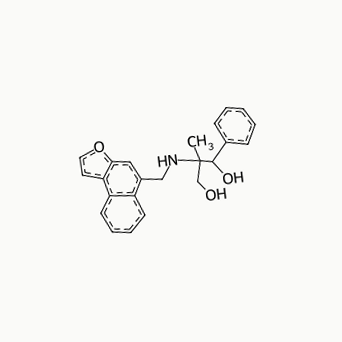 CC(CO)(NCc1cc2occc2c2ccccc12)C(O)c1ccccc1